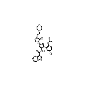 O=C(Nc1cn([C@H]2CCN(CCN3CCOCC3)C2=O)nc1-c1cc(Cl)ccc1OC(F)F)c1cnn2cccnc12